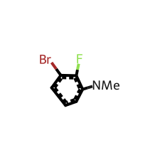 CNc1cccc(Br)c1F